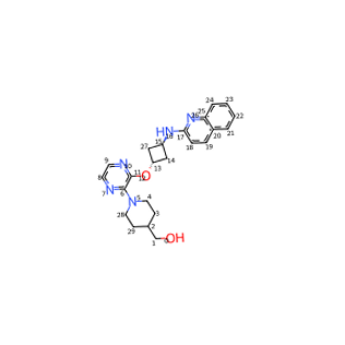 OCC1CCN(c2nccnc2O[C@H]2C[C@H](Nc3ccc4ccccc4n3)C2)CC1